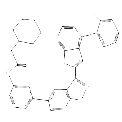 O=C(CC1CCCCC1)Nc1cncc(-c2cnc3[nH]nc(-c4cc5c(-c6ccccc6F)ccnc5[nH]4)c3c2)c1